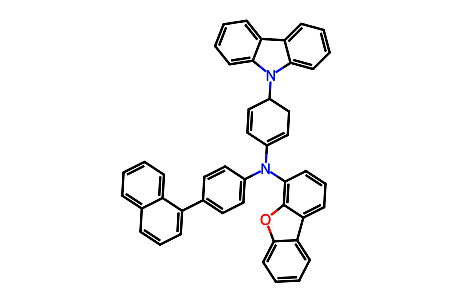 C1=CC(n2c3ccccc3c3ccccc32)CC=C1N(c1ccc(-c2cccc3ccccc23)cc1)c1cccc2c1oc1ccccc12